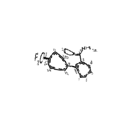 NC(=O)c1ccccc1-c1ccc(C(F)(F)F)cc1